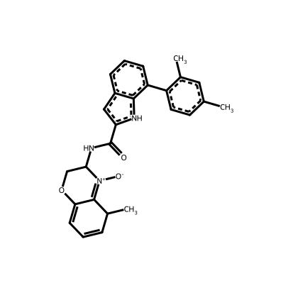 Cc1ccc(-c2cccc3cc(C(=O)NC4COC5=CC=CC(C)C5=[N+]4[O-])[nH]c23)c(C)c1